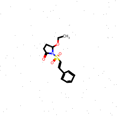 CCOC1CCC(=O)N1S(=O)(=O)/C=C/c1ccccc1